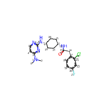 CN(C)c1ccnc(N[C@H]2CC[C@@H](NC(=O)Cc3ccc(F)cc3Cl)CC2)n1